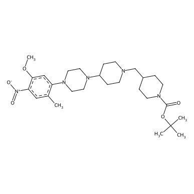 COc1cc(N2CCN(C3CCN(CC4CCN(C(=O)OC(C)(C)C)CC4)CC3)CC2)c(C)cc1[N+](=O)[O-]